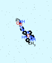 Cc1ccc(NC(=O)c2ccc(N3CCN(COC(=O)NC(C)C)CC3)cc2)cc1Nc1nccc(-c2cccnc2)n1